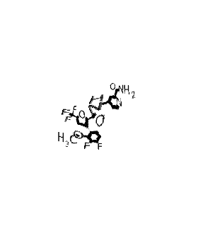 COc1c([C@@H]2C[C@@H](C(F)(F)F)O[C@H]2C(=O)Nc2ccnc(C(N)=O)c2)ccc(F)c1F